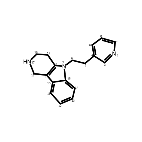 c1cncc(CCn2c3c(c4ccccc42)CNCC3)c1